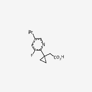 CC(C)c1cnc(C2(CC(=O)O)CC2)c(F)c1